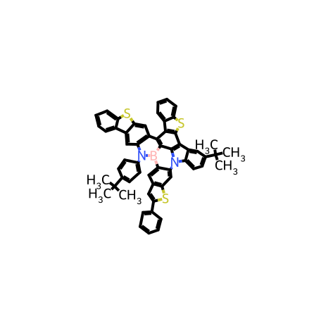 CC(C)(C)c1ccc(N2B3c4cc5cc(-c6ccccc6)sc5cc4-n4c5ccc(C(C)(C)C)cc5c5c6sc7ccccc7c6c(c3c54)-c3cc4sc5ccccc5c4cc32)cc1